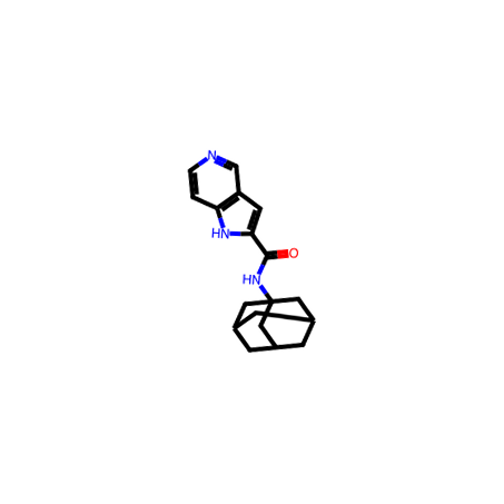 O=C(NC12CC3CC(CC(C3)C1)C2)c1cc2cnccc2[nH]1